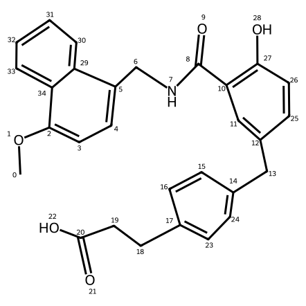 COc1ccc(CNC(=O)c2cc(Cc3ccc(CCC(=O)O)cc3)ccc2O)c2ccccc12